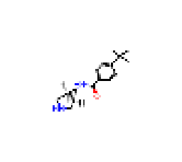 CC(C)(C)c1ccc(C(=O)NC2[C@H]3CNC[C@@H]23)cc1